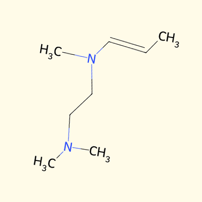 CC=CN(C)CCN(C)C